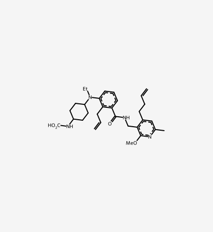 C=CCCc1cc(C)nc(OC)c1CNC(=O)c1cccc(N(CC)C2CCC(NC(=O)O)CC2)c1CC=C